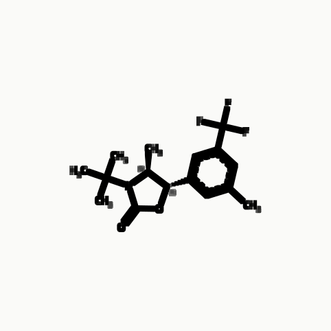 Cc1cc([C@@H]2OC(=O)N(C(C)(C)C)[C@H]2C)cc(C(F)(F)F)c1